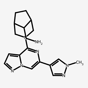 Cn1cc(-c2cn3nccc3c(N3CC4CCC(C3)C4CN)n2)cn1